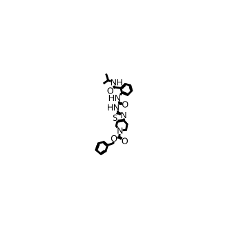 CC(C)NC(=O)c1ccccc1NC(=O)Nc1nc2c(s1)CN(C(=O)OCc1ccccc1)CC2